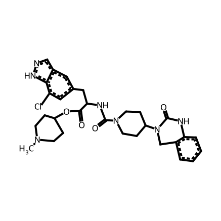 CN1CCC(OC(=O)C(Cc2cc(Cl)c3[nH]ncc3c2)NC(=O)N2CCC(N3Cc4ccccc4NC3=O)CC2)CC1